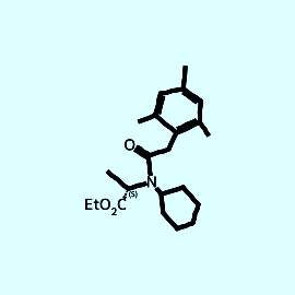 CCOC(=O)[C@H](C)N(C(=O)Cc1c(C)cc(C)cc1C)C1CCCCC1